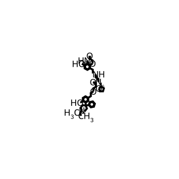 CC(C)N1CCC(c2ccccc2)(c2cc(CCOCCC(=O)N(CCNCCc3ccc(O)c4c3OCC(=O)N4)C[C@H]3CCCO3)ccc2O)CC1